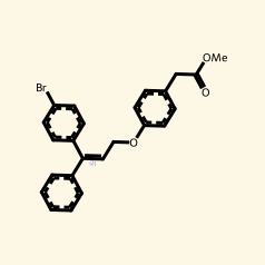 COC(=O)Cc1ccc(OC/C=C(/c2ccccc2)c2ccc(Br)cc2)cc1